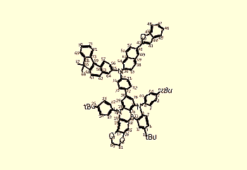 CC(C)(C)c1ccc(N2c3ccc(C(C)(C)C)cc3B3c4cc5c(cc4N(c4ccc(C(C)(C)C)cc4)c4cc(-c6ccc(N(c7ccc8cc(-c9cc%10ccccc%10o9)ccc8c7)c7ccc8c9c(ccc8c7)C(C)(C)c7ccccc7-9)cc6)cc2c43)OCCO5)cc1